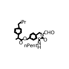 CCCCCNSC(=O)N(C=O)Cc1ccc(COC(=O)C(C)c2ccc(CC(C)C)cc2)cc1